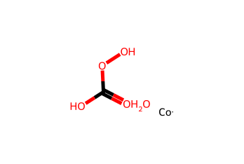 O.O=C(O)OO.[Co]